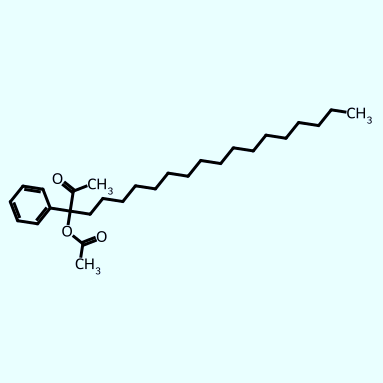 CCCCCCCCCCCCCCCCCC(OC(C)=O)(C(C)=O)c1ccccc1